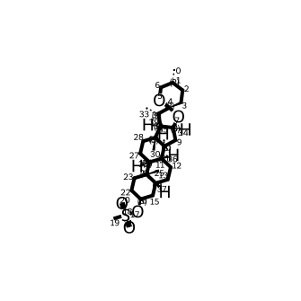 C[C@@H]1CC[C@@]2(OC1)O[C@H]1C[C@H]3[C@@H]4CC[C@@H]5C[C@@H](OS(C)(=O)=O)CC[C@]5(C)[C@H]4CC[C@]3(C)[C@H]1[C@@H]2C